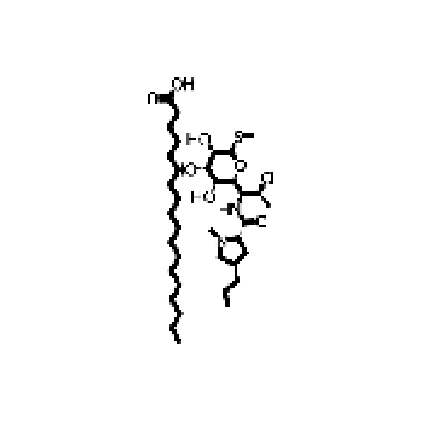 CCCCCCCCCCCCCCCCCC(=O)O.CCC[C@@H]1C[C@@H](C(=O)N[C@@H]([C@H]2O[C@H](SC)[C@H](O)[C@@H](O)[C@H]2O)[C@H](C)Cl)N(C)C1